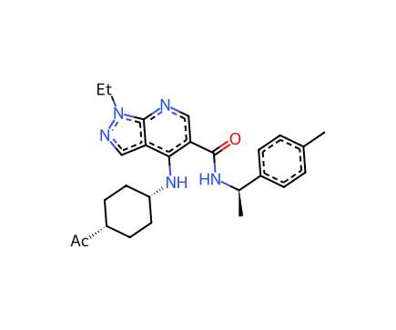 CCn1ncc2c(N[C@H]3CC[C@@H](C(C)=O)CC3)c(C(=O)N[C@H](C)c3ccc(C)cc3)cnc21